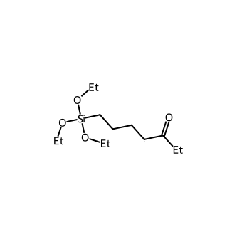 CCO[Si](CCC[CH]C(=O)CC)(OCC)OCC